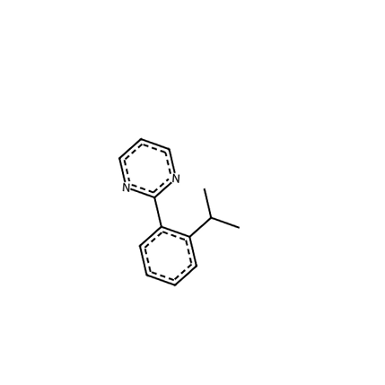 CC(C)c1ccccc1-c1ncccn1